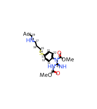 COC(=O)NC(=N)N(C(=O)OC)c1ccc(SCCCNCC(C)=O)cc1